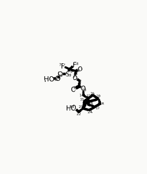 O=C(COC(=O)C(F)(F)SOOO)OCC12CC3CC(CC(CO)(C3)C1)C2